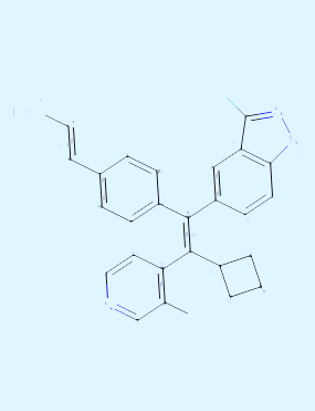 Cc1cnccc1/C(=C(\c1ccc(/C=C/C(=O)O)cc1)c1ccc2[nH]nc(F)c2c1)C1CCC1